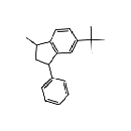 CC1CC(c2ccccc2)c2cc(C(C)(C)C)ccc21